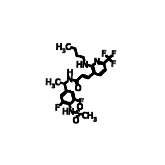 CCCCNc1nc(C(F)(F)F)ccc1/C=C/C(=O)N[C@H](C)c1cc(F)c(NS(C)(=O)=O)c(F)c1